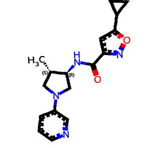 C[C@H]1CN(c2cccnc2)C[C@@H]1NC(=O)c1cc(C2CC2)on1